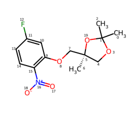 CC1(C)OC[C@@](C)(COc2cc(F)ccc2[N+](=O)[O-])O1